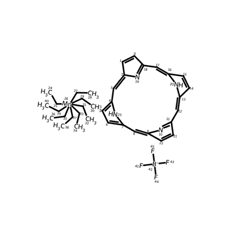 C1=Cc2cc3ccc(cc4nc(cc5ccc(cc1n2)[nH]5)C=C4)[nH]3.C[CH2][Mn]([CH2]C)([CH2]C)([CH2]C)([CH2]C)([CH2]C)([CH2]C)[CH2]C.F[B-](F)(F)F